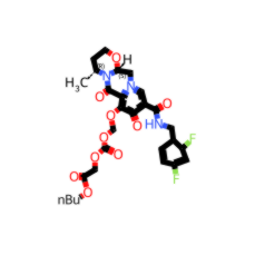 CCCCOC(=O)COC(=O)OCOc1c2n(cc(C(=O)NCC3C=CC(F)=CC3F)c1=O)C[C@@H]1OCC[C@@H](C)N1C2=O